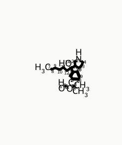 CC(C)(C)OC=O.CCCCCCC(O)(c1ccccc1)C1CCCNC1